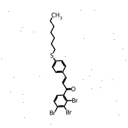 CCCCCCCSc1ccc(/C=C/C(=O)c2ccc(Br)c(Br)c2Br)cc1